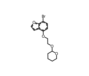 Brc1ccc(OCCOC2CCCCO2)c2ccoc12